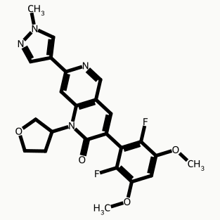 COc1cc(OC)c(F)c(-c2cc3cnc(-c4cnn(C)c4)cc3n(C3CCOC3)c2=O)c1F